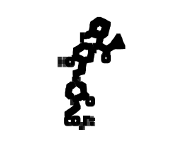 CCOC(=O)CCN1CCN(CC=C2CN(C(C(=O)C3CC3)c3ccccc3F)CCC2O)CC1=O